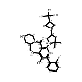 CC1(C)CC(N2CC(C(F)(F)F)C2)CN1c1nc(-c2ccccc2F)c(Cl)c2c1C(=O)N1CCNCC1CO2